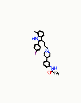 Cc1cccc2c(CCCN3CCC(c4cccc(NC(=O)C(C)C)c4)CC3)c(-c3ccc(I)cc3)[nH]c12